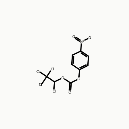 O=C(Oc1ccc([N+](=O)[O-])cc1)OC(Cl)C(Cl)(Cl)Cl